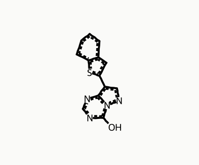 Oc1ncnc2c(-c3cc4ccccc4s3)cnn12